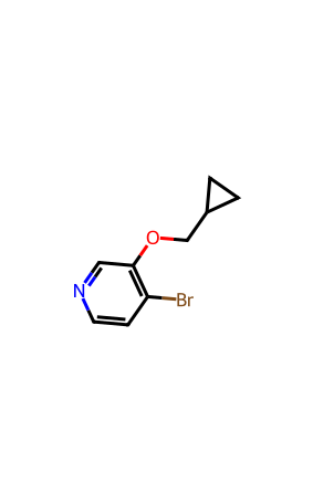 Brc1ccncc1OCC1CC1